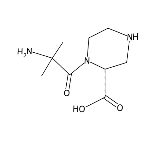 CC(C)(N)C(=O)N1CCNCC1C(=O)O